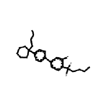 CCCCC(F)(F)c1ccc(-c2ccc(C3(CCCC)CCCCC3)cc2)cc1F